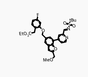 CCOC(=O)Cc1ccc(F)cc1OCc1cc(-c2ccnc(C=NS(=O)(=O)C(C)(C)C)c2)c2oc(COC)cc2c1